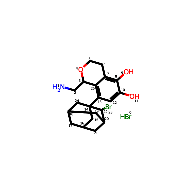 Br.NCC1OCCc2c(O)c(O)cc(C34CC5CC(CC(C5)C3Br)C4)c21